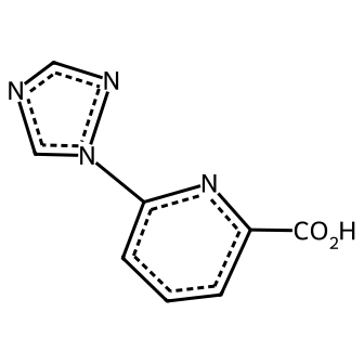 O=C(O)c1cccc(-n2cncn2)n1